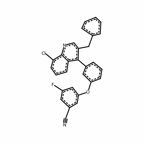 N#Cc1cc(F)cc(Oc2cccc(-c3c(Cc4ccccc4)cnc4c(Cl)cccc34)c2)c1